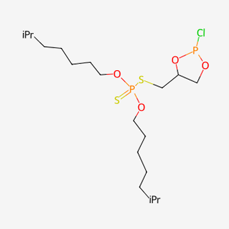 CC(C)CCCCCOP(=S)(OCCCCCC(C)C)SCC1COP(Cl)O1